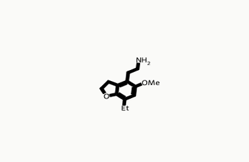 CCc1cc(OC)c(CCN)c2c1OCC2